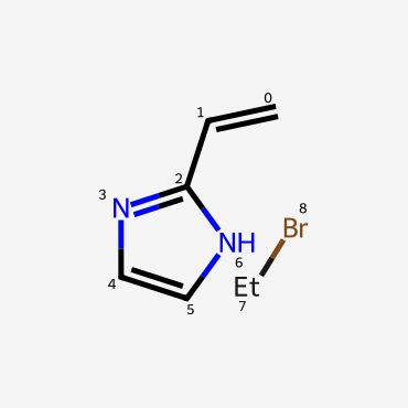 C=Cc1ncc[nH]1.CCBr